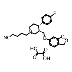 N#CCCCCN1CC[C@H](c2ccc(F)cc2)[C@@H](COc2ccc3c(c2)OOC3)C1.O=C(O)C(=O)O